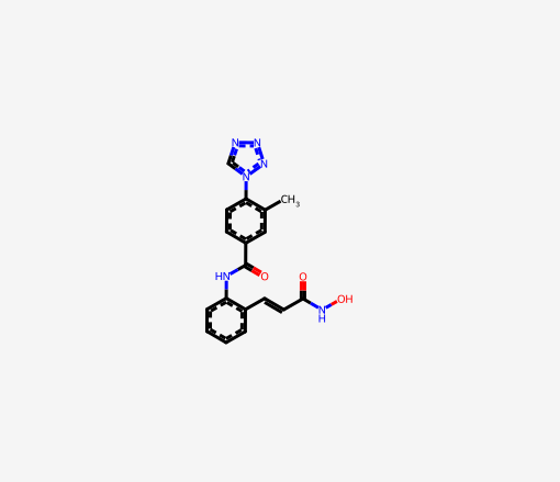 Cc1cc(C(=O)Nc2ccccc2C=CC(=O)NO)ccc1-n1cnnn1